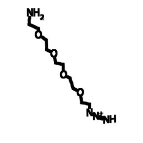 N=[N+]=NCCOCCOCCOCCOCCN